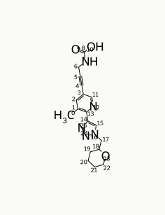 Cc1cc(C#CCNC(=O)O)cnc1-c1cn(CC2CCCCO2)nn1